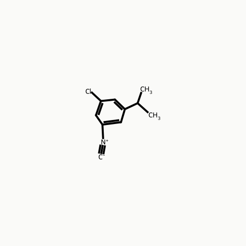 [C-]#[N+]c1cc(Cl)cc(C(C)C)c1